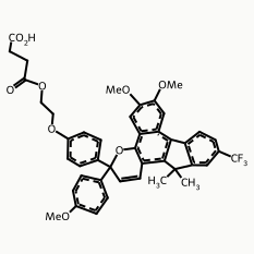 COc1ccc(C2(c3ccc(OCCOC(=O)CCC(=O)O)cc3)C=Cc3c4c(c5cc(OC)c(OC)cc5c3O2)-c2ccc(C(F)(F)F)cc2C4(C)C)cc1